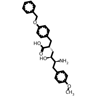 COc1ccc(C[C@H](N)[C@@H](O)C[C@@H](Cc2ccc(OCc3ccccc3)cc2)C(=O)O)cc1